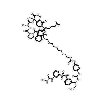 CCCNC(=O)Nc1cccc(S(=O)(=O)Nc2cccc([C@@H](CC(=O)O)NC(=O)Nc3ccc(NC(=O)NCCOCCOCCOCCC(=O)N[C@@H](CC(=O)OCCCN(C)C)C(=O)N4CCC[C@H]4C(=O)N[C@H](C(=O)O[C@]4(CC)C(=O)OCc5c4cc4n(c5=O)Cc5c-4nc4ccccc4c5CC)C(C)C)cc3)c2)c1